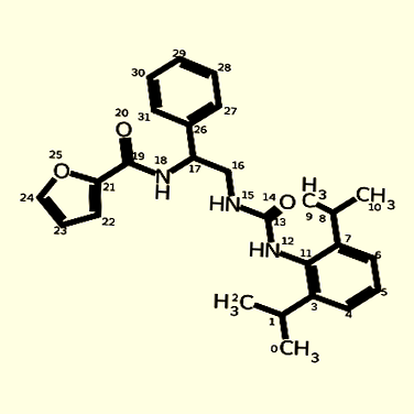 CC(C)c1cccc(C(C)C)c1NC(=O)NCC(NC(=O)c1ccco1)c1ccccc1